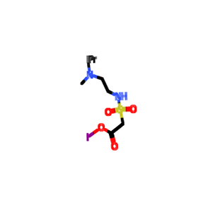 CC(C)N(C)CCNS(=O)(=O)CC(=O)OI